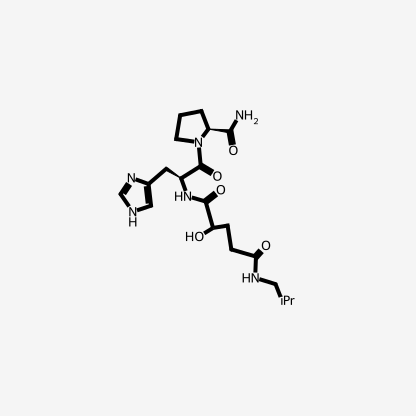 CC(C)CNC(=O)CCC(O)C(=O)N[C@@H](Cc1c[nH]cn1)C(=O)N1CCC[C@H]1C(N)=O